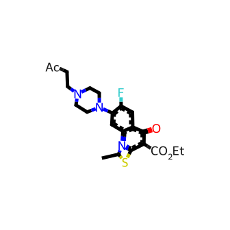 CCOC(=O)c1c2n(c3cc(N4CCN(CCC(C)=O)CC4)c(F)cc3c1=O)C(C)S2